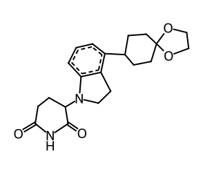 O=C1CCC(N2CCc3c(C4CCC5(CC4)OCCO5)cccc32)C(=O)N1